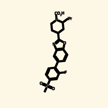 CC(C)C1CC(c2nc3cc(-c4ccc(S(C)(=O)=O)cc4F)ccc3o2)CCN1C(=O)O